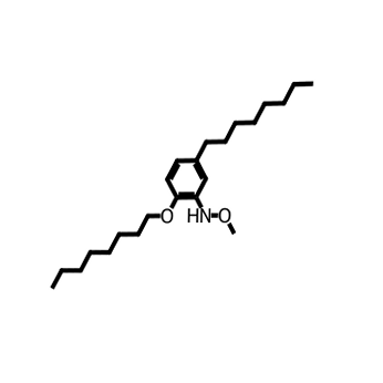 CCCCCCCCOc1ccc(CCCCCCCC)cc1NOC